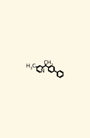 C=C(c1ccc(-c2ccccc2)cc1)c1cc(C)ccn1